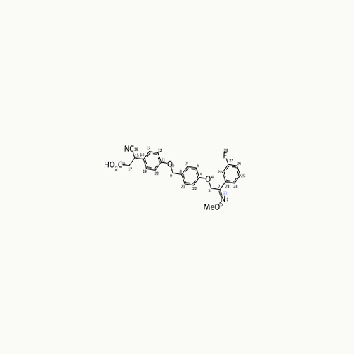 CO/N=C(\COc1ccc(COc2ccc(C(C#N)CC(=O)O)cc2)cc1)c1cccc(F)c1